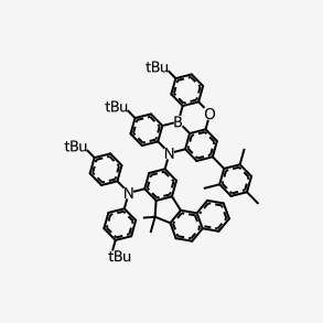 Cc1cc(C)c(-c2cc3c4c(c2)N(c2cc5c(c(N(c6ccc(C(C)(C)C)cc6)c6ccc(C(C)(C)C)cc6)c2)C(C)(C)c2ccc6ccccc6c2-5)c2ccc(C(C)(C)C)cc2B4c2cc(C(C)(C)C)ccc2O3)c(C)c1